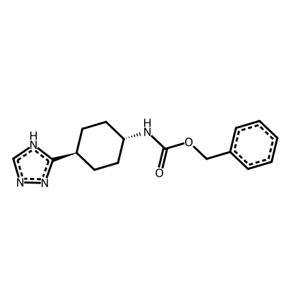 O=C(N[C@H]1CC[C@H](c2nnc[nH]2)CC1)OCc1ccccc1